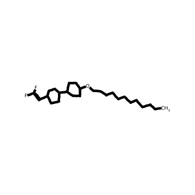 CCCCCCCCCCCCOC1CCC(C2CCC(C=C(F)F)CC2)CC1